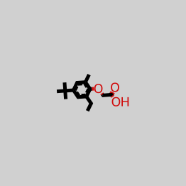 CCc1cc(C(C)(C)C)cc(C)c1OCC(=O)O